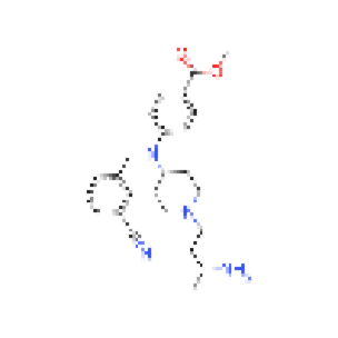 COC(=O)c1ccc(N(Cc2cccc(C#N)c2)C2CCN(CCC(C)N)CC2)cc1